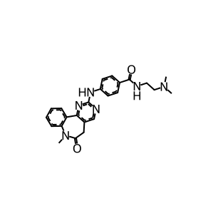 CN(C)CCNC(=O)c1ccc(Nc2ncc3c(n2)-c2ccccc2N(C)C(=O)C3)cc1